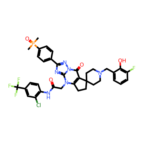 CP(C)(=O)c1ccc(-c2nc3n(CC(=O)Nc4ccc(C(F)(F)F)cc4Cl)c4c(c(=O)n3n2)C2(CC4)CCN(Cc3cccc(F)c3O)CC2)cc1